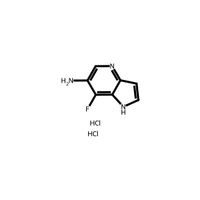 Cl.Cl.Nc1cnc2cc[nH]c2c1F